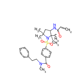 C=CC(=O)NC1CC(C)(C)N(S(=O)(=O)c2ccc(C(=O)N(C)CCc3ccccc3)cc2)C1(C)C